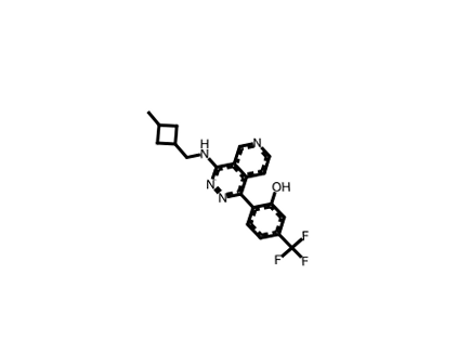 CC1CC(CNc2nnc(-c3ccc(C(F)(F)F)cc3O)c3ccncc23)C1